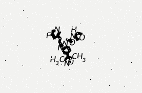 Cc1noc(C)c1-c1ccc2c(c1)nc(CCc1cncc(F)c1)n2CC(=O)NC1CCOC1